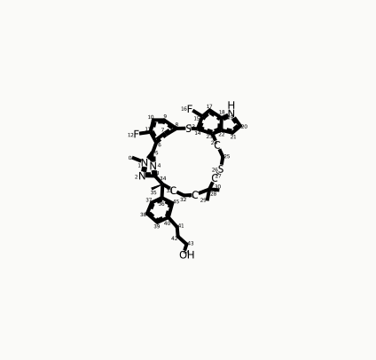 Cn1nc2nc1-c1cc(ccc1F)Sc1c(F)cc3[nH]ccc3c1CCSCC(C)(C)CCC[C@]2(C)c1cccc(CCCO)c1